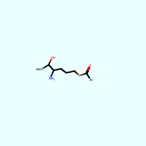 COC(O)C(N)CCCSC(=O)C(C)=O